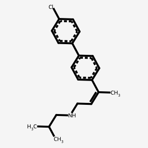 C/C(=C/CNCC(C)C)c1ccc(-c2ccc(Cl)cc2)cc1